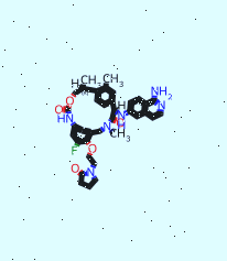 Cc1cc2ccc1[C@@H](C)COC(=O)Nc1cc(F)c(OCCN3CCCC3=O)c(c1)CN(C)C(=O)[C@@H]2Nc1ccc2c(N)nccc2c1